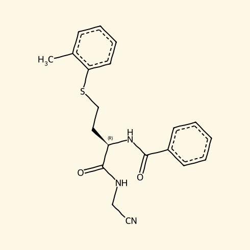 Cc1ccccc1SCC[C@@H](NC(=O)c1ccccc1)C(=O)NCC#N